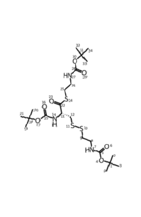 CC(C)(C)OC(=O)NCCSSC[C@H](NC(=O)OC(C)(C)C)C(=O)SCCNC(=O)OC(C)(C)C